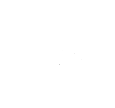 CNc1nc(Nc2ccnc(C)c2)c(C(=O)OC)nc1-c1cncc2c1ncn2C